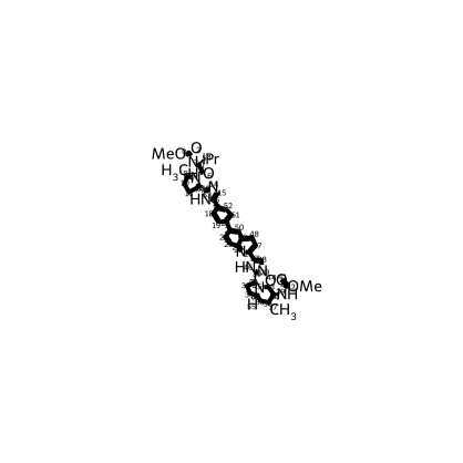 COC(=O)N[C@H](C(=O)N1[C@@H](C)CC[C@H]1c1ncc(-c2ccc(-c3ccc4nc(-c5cnc([C@@H]6CC[C@@H]7CC(C)[C@H](NC(=O)OC)C(=O)N76)[nH]5)ccc4c3)cc2)[nH]1)C(C)C